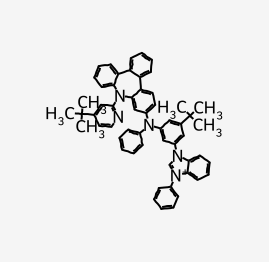 CC(C)(C)c1cc(N(c2ccccc2)c2ccc3c(c2)N(c2cc(C(C)(C)C)ccn2)c2ccccc2-c2ccccc2-3)cc(-n2c[n+](-c3ccccc3)c3ccccc32)c1